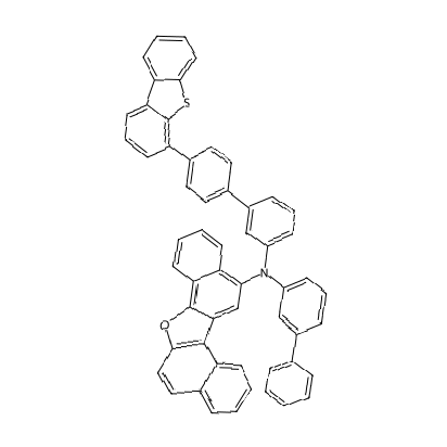 c1ccc(-c2cccc(N(c3cccc(-c4ccc(-c5cccc6c5sc5ccccc56)cc4)c3)c3cc4c(oc5ccc6ccccc6c54)c4ccccc34)c2)cc1